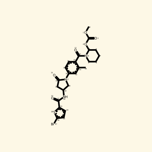 COC(=O)OC1CCCCN1C(=O)c1ccc(N2CC(NC(=O)c3ccc(Br)s3)CC2=O)cc1C